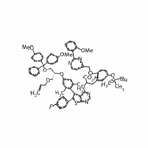 C=CCOC[C@H](COC(c1ccccc1)(c1ccc(OC)cc1)c1ccc(OC)cc1)Oc1cc(C)c(-c2c(-c3ccc(F)cc3)sc3ncnc(OC(Cc4cc(O[Si](C)(C)C(C)(C)C)ccc4OCc4ccnc(-c5ccccc5OC)n4)C(=O)O)c23)c(C)c1